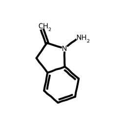 C=C1Cc2ccccc2N1N